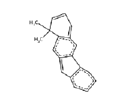 CC1(C)C=C[C]=c2cc3c(cc21)=Cc1ccccc1-3